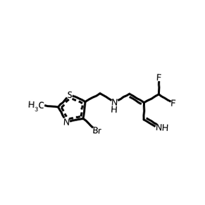 Cc1nc(Br)c(CN/C=C(\C=N)C(F)F)s1